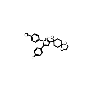 OC1(c2cc(-c3ccc(F)cc3)n(-c3ccc(Cl)cc3)n2)CCC2(CC1)OCCO2